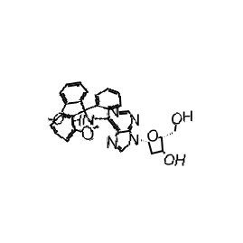 COc1ccccc1C(Nc1ncnc2c1ncn2[C@H]1C[C@H](O)[C@@H](CO)O1)(c1ccccc1)c1ccccc1OC